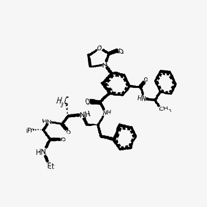 CCNC(=O)[C@@H](NC(=O)[C@H](C)NC[C@H](Cc1ccccc1)NC(=O)c1cc(C(=O)NC(C)c2ccccc2)cc(N2CCOC2=O)c1)C(C)C